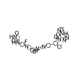 O=C1CC[C@H](Nc2ccc(N3CCC(O)(CC(=O)N4CC5(C4)CN(c4ccc(-c6cc(Cl)c7c(c6)C(=O)N(C(C(=O)Nc6nccs6)c6ncn8c6CCC8)C7)cc4)C5)CC3)c(F)c2)C(=O)N1